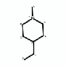 [CH2]CC1CCN(C)CC1